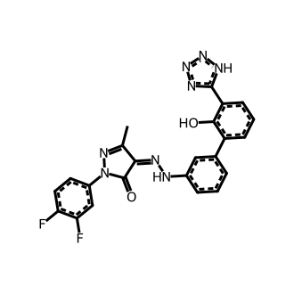 CC1=NN(c2ccc(F)c(F)c2)C(=O)C1=NNc1cccc(-c2cccc(-c3nnn[nH]3)c2O)c1